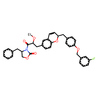 CCOC(Cc1ccc2c(c1)C=CC(Cc1ccc(OCc3cccc(F)c3)cc1)O2)C(=O)N1C(=O)OCC1Cc1ccccc1